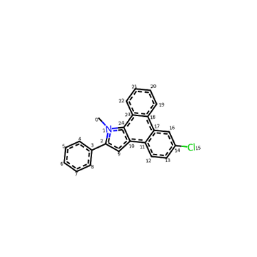 Cn1c(-c2ccccc2)cc2c3ccc(Cl)cc3c3ccccc3c21